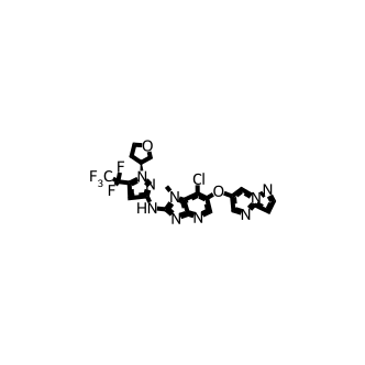 Cn1c(Nc2cc(C(F)(F)C(F)(F)F)n([C@H]3CCOC3)n2)nc2ncc(Oc3cnc4ccnn4c3)c(Cl)c21